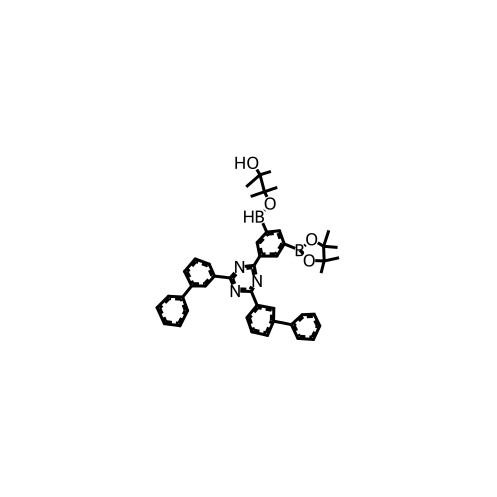 CC(C)(O)C(C)(C)OBc1cc(B2OC(C)(C)C(C)(C)O2)cc(-c2nc(-c3cccc(-c4ccccc4)c3)nc(-c3cccc(-c4ccccc4)c3)n2)c1